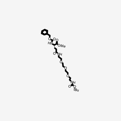 COC(=O)[C@H](CCC(=O)NCCOCCOCCOCCNC(=O)OC(C)(C)C)NC(=O)OCc1ccccc1